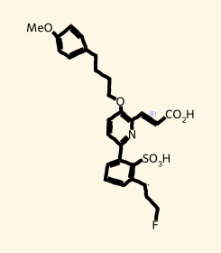 COc1ccc(CCCCOc2ccc(-c3cccc([CH]CCF)c3S(=O)(=O)O)nc2/C=C/C(=O)O)cc1